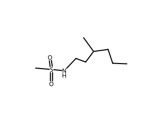 CCCC(C)CCNS(C)(=O)=O